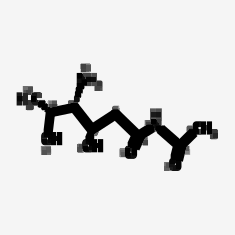 CC(=O)NC(=O)C[C@@H](O)[C@@H](N)[C@@H](C)O